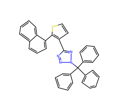 c1ccc(C(c2ccccc2)(c2ccccc2)n2nnc(-c3ccsc3-c3cccc4ccccc34)n2)cc1